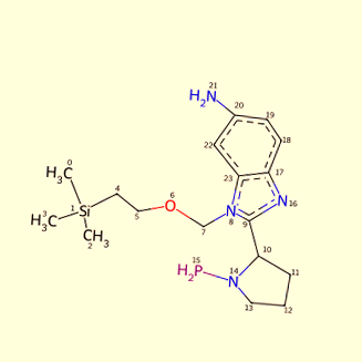 C[Si](C)(C)CCOCn1c(C2CCCN2P)nc2ccc(N)cc21